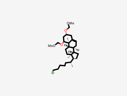 COCO[C@@H]1CC2=CC[C@H]3[C@@H]4CC[C@H]([C@H](C)CCCCCBr)[C@@]4(C)CC[C@@H]3[C@@]2(C)[C@@H](OCOC)C1